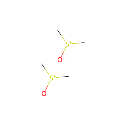 C[S+](C)[O-].C[S+](C)[O-]